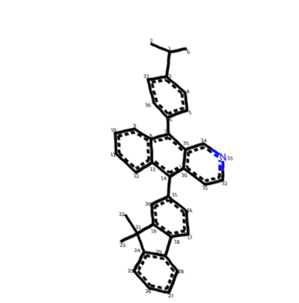 CC(C)c1ccc(-c2c3ccccc3c(-c3ccc4c(c3)C(C)(C)c3ccccc3-4)c3ccncc23)cc1